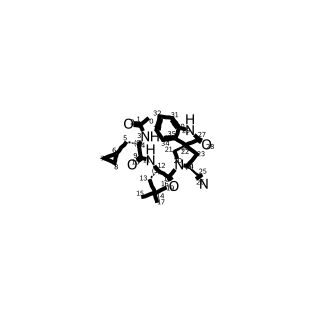 CC(=O)N[C@@H](CC1CC1)C(=O)N[C@@H](CC(C)(C)C)C(=O)N1C[C@]2(C[C@H]1C#N)C(=O)Nc1ccccc12